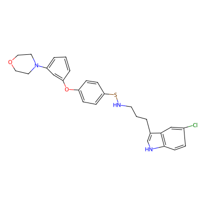 Clc1ccc2[nH]cc(CCCNSc3ccc(Oc4cccc(N5CCOCC5)c4)cc3)c2c1